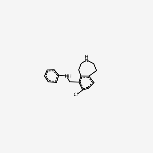 Clc1ccc2c(c1CNc1ccccc1)CCNCC2